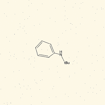 CC(C)(C)Nc1[c]cccc1